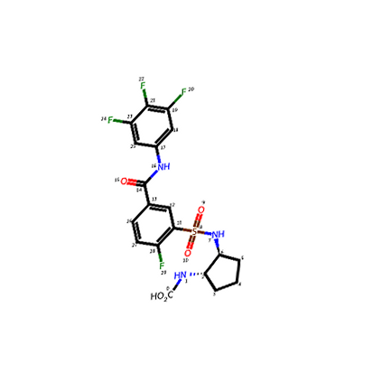 O=C(O)N[C@H]1CCC[C@@H]1NS(=O)(=O)c1cc(C(=O)Nc2cc(F)c(F)c(F)c2)ccc1F